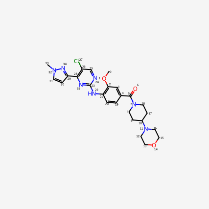 COc1cc(C(=O)N2CCC(N3CCOCC3)CC2)ccc1Nc1ncc(Cl)c(-c2ccn(C)n2)n1